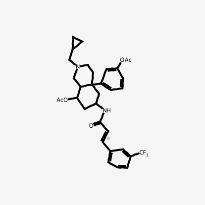 CC(=O)Oc1cccc(C23CCN(CC4CC4)CC2C(OC(C)=O)CC(NC(=O)/C=C/c2cccc(C(F)(F)F)c2)C3)c1